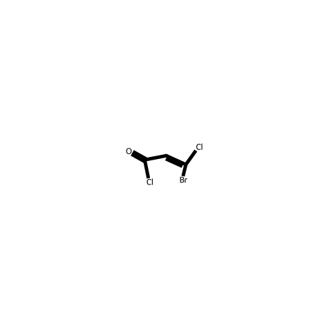 O=C(Cl)C=C(Cl)Br